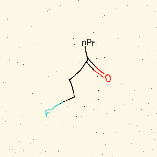 CCCC(=O)CCF